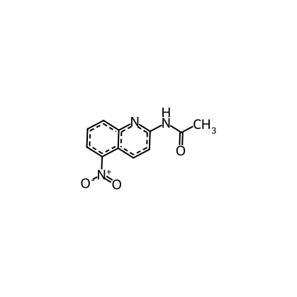 CC(=O)Nc1ccc2c([N+](=O)[O-])cccc2n1